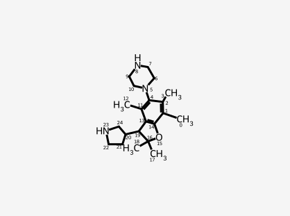 Cc1c(C)c(N2CCNCC2)c(C)c2c1OC(C)(C)C2C1CCNC1